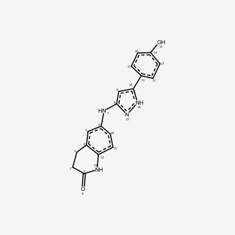 O=C1CCc2cc(Nc3cc(-c4ccc(O)cc4)[nH]n3)ccc2N1